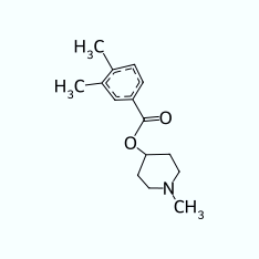 Cc1ccc(C(=O)OC2CCN(C)CC2)cc1C